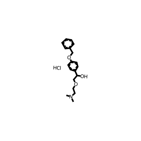 CN(C)CCOCC(O)c1ccc(OCc2ccccc2)cc1.Cl